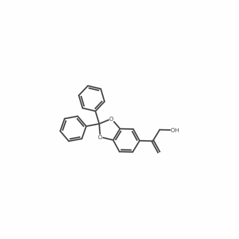 C=C(CO)c1ccc2c(c1)OC(c1ccccc1)(c1ccccc1)O2